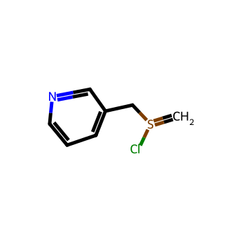 C=S(Cl)Cc1cccnc1